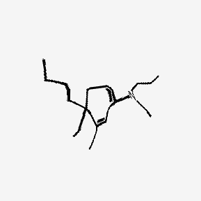 CCCCC1(C)CC=C(N(C)CC)C=C1C